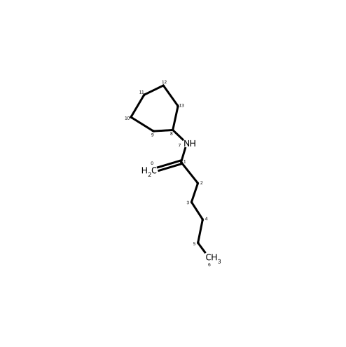 C=C(CCCCC)NC1CCCCC1